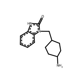 NC1CCC(Cn2c(=O)[nH]c3ccccc32)CC1